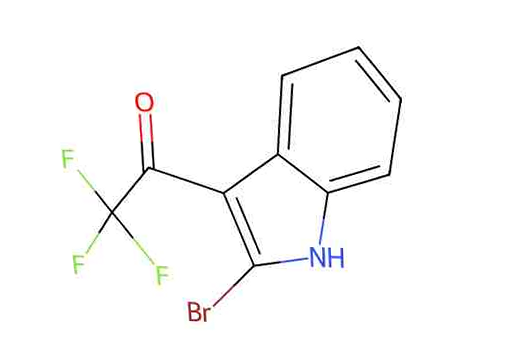 O=C(c1c(Br)[nH]c2ccccc12)C(F)(F)F